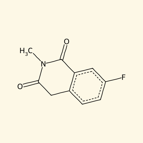 CN1C(=O)Cc2ccc(F)cc2C1=O